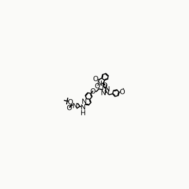 COc1ccc(Cn2nnc(C(COc3ccc4nc(NC5CN(C(=O)OC(C)(C)C)C5)ccc4c3)ON3C(=O)c4ccccc4C3=O)n2)cc1